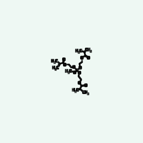 C=C(C)C(=O)OCCO[Si](OC)(OCCOC(=O)C(=C)C)OCCOC(=O)C(=C)C